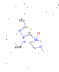 CCCCCCCCCNC1CN(C)C[N+]1([O-])c1nnc(C(C)(C)C)s1